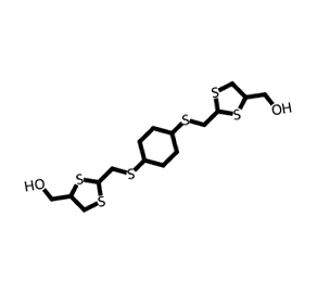 OCC1CSC(CSC2CCC(SCC3SCC(CO)S3)CC2)S1